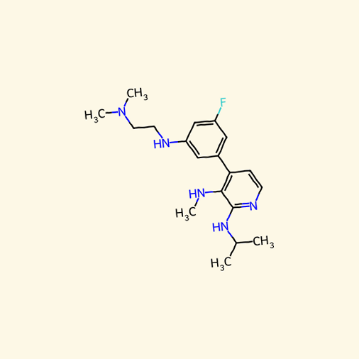 CNc1c(-c2cc(F)cc(NCCN(C)C)c2)ccnc1NC(C)C